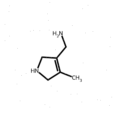 CC1=C(CN)CNC1